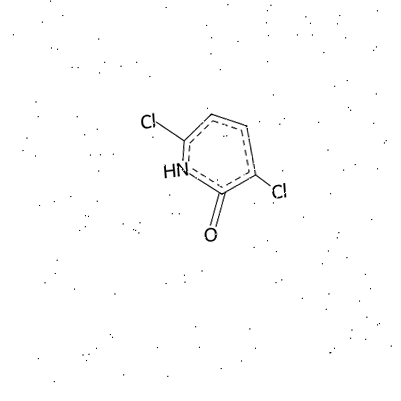 O=c1[nH]c(Cl)ccc1Cl